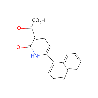 O=C(O)C(=O)c1ccc(-c2cccc3ccccc23)[nH]c1=O